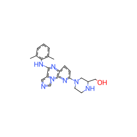 Cc1cccc(C)c1Nc1nc2ccc(N3CCNC(CO)C3)nc2n2cncc12